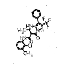 Cc1cccc(NC(=O)c2c(C)[nH]c3c(-c4ccccc4)c(C(F)(F)F)nn3c2=O)c1Cl